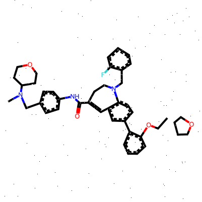 C1CCOC1.CCOc1ccccc1-c1ccc2c(c1)C=C(C(=O)Nc1ccc(CN(C)C3CCOCC3)cc1)CCN2Cc1ccccc1F